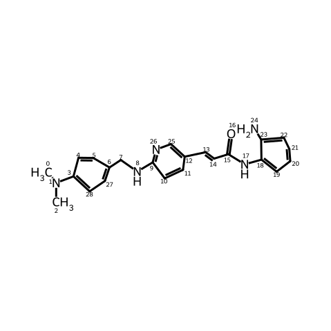 CN(C)c1ccc(CNc2ccc(C=CC(=O)Nc3ccccc3N)cn2)cc1